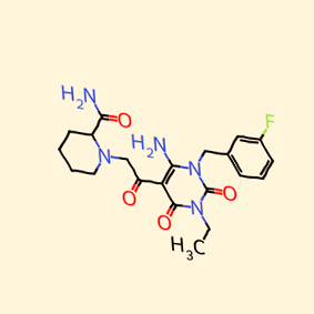 CCn1c(=O)c(C(=O)CN2CCCCC2C(N)=O)c(N)n(Cc2cccc(F)c2)c1=O